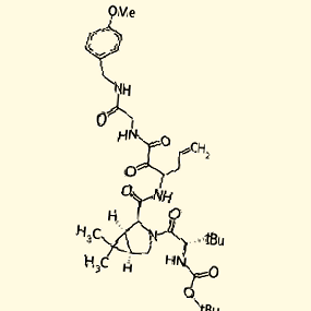 C=CCC(NC(=O)[C@@H]1[C@H]2[C@@H](CN1C(=O)[C@@H](NC(=O)OC(C)(C)C)C(C)(C)C)C2(C)C)C(=O)C(=O)NCC(=O)NCc1ccc(OC)cc1